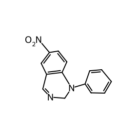 O=[N+]([O-])c1ccc2c(c1)C=NCN2c1ccccc1